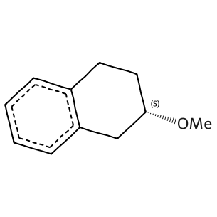 CO[C@H]1CCc2ccccc2C1